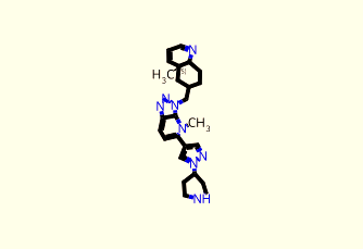 CN1C(c2cnn(C3CCNCC3)c2)=CC=C2N=NN(CC3CCC4N=CC=C[C@]4(C)C3)C21